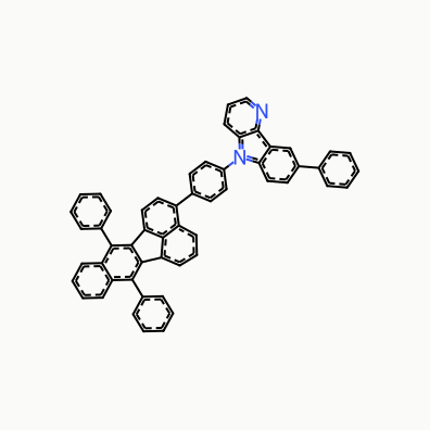 c1ccc(-c2ccc3c(c2)c2ncccc2n3-c2ccc(-c3ccc4c5c(cccc35)-c3c-4c(-c4ccccc4)c4ccccc4c3-c3ccccc3)cc2)cc1